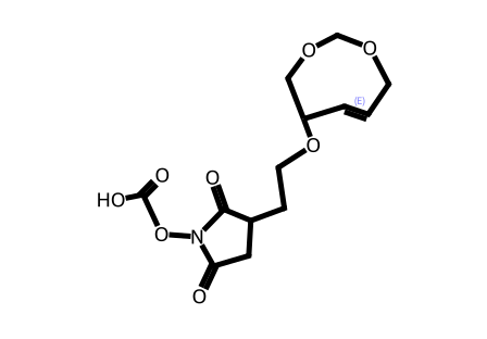 O=C(O)ON1C(=O)CC(CCOC2/C=C/COCOC2)C1=O